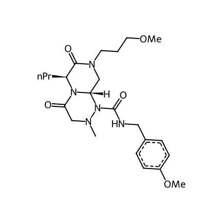 CCC[C@H]1C(=O)N(CCCOC)C[C@H]2N1C(=O)CN(C)N2C(=O)NCc1ccc(OC)cc1